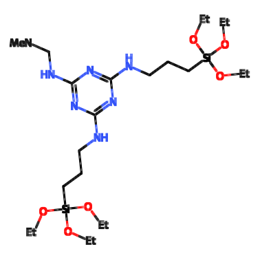 CCO[Si](CCCNc1nc(NCCC[Si](OCC)(OCC)OCC)nc(NCNC)n1)(OCC)OCC